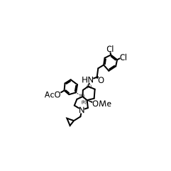 CO[C@]12CC[C@H](NC(=O)Cc3ccc(Cl)c(Cl)c3)C[C@]1(c1cccc(OC(C)=O)c1)CCN(CC1CC1)C2